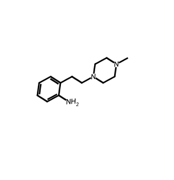 CN1CCN(CCc2ccccc2N)CC1